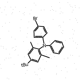 Cc1cc(C(C)(C)C)cc(C)c1N(c1ccccc1)c1ccc(Br)cc1